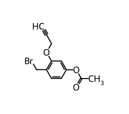 C#CCOc1cc(OC(C)=O)ccc1CBr